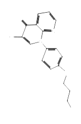 O=c1c(O)cn(-c2ccc(OCCCCl)cc2)c2ncccc12